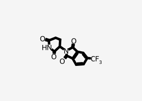 O=C1CCC(N2C(=O)c3ccc(C(F)(F)F)cc3C2=O)C(=O)N1